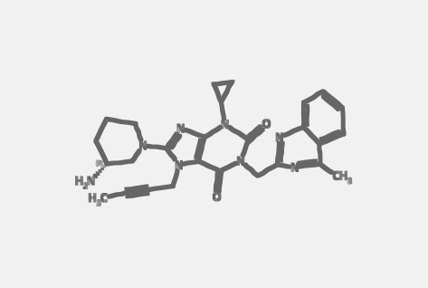 CC#CCn1c(N2CCC[C@@H](N)C2)nc2c1c(=O)n(Cc1nc(C)c3ccccc3n1)c(=O)n2C1CC1